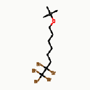 C[Si](C)(C)OCCCCCCC(Br)(Br)C(Br)(Br)Br